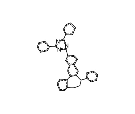 c1ccc(-c2nc(-c3ccccc3)nc(-c3ccc4cc5c(cc4c3)-c3ccccc3CCC5c3ccccc3)n2)cc1